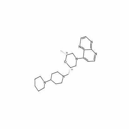 C[C@@H]1CN(c2ccnc3nccnc23)C[C@H](CN2CCC(N3CCCCC3)CC2)O1